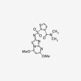 COc1cc(OC)n2sc(=NS(=O)(=O)c3sccc3C(=O)N(C)C)nc2n1